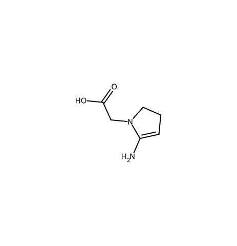 NC1=CCCN1CC(=O)O